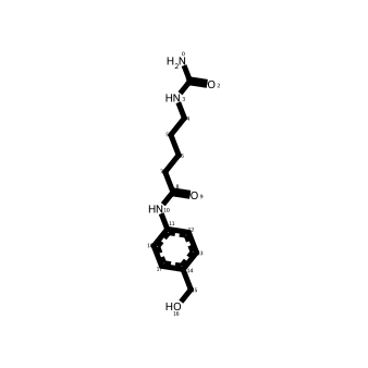 NC(=O)NCCCCC(=O)Nc1ccc(CO)cc1